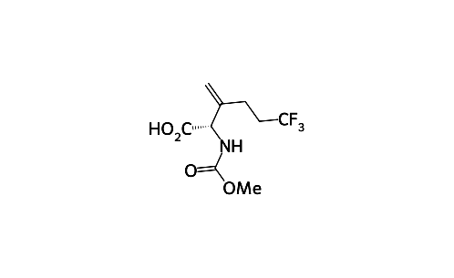 C=C(CCC(F)(F)F)[C@H](NC(=O)OC)C(=O)O